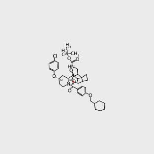 CC(C)(C)OC(=O)NCC1CCC2C3CCC13C2C(=O)[C@@H]1C[C@@H](Oc2ccc(Cl)cc2)CCN1S(=O)(=O)c1ccc(OCC2CCCCC2)cc1